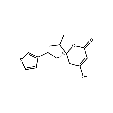 CC(C)[C@]1(CCc2ccsc2)CC(O)=CC(=O)O1